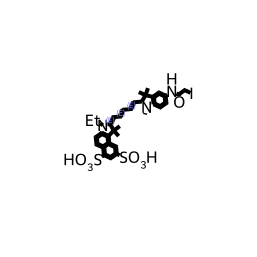 CCN1/C(=C/C=C/C=C/C2=[N+](C)c3ccc(NC(=O)CI)cc3C2(C)C)C(C)(C)c2c1ccc1c(S(=O)(=O)O)cc(S(=O)(=O)O)cc21